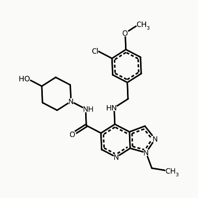 CCn1ncc2c(NCc3ccc(OC)c(Cl)c3)c(C(=O)NN3CCC(O)CC3)cnc21